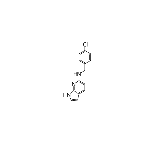 Clc1ccc(CNc2ccc3cc[nH]c3n2)cc1